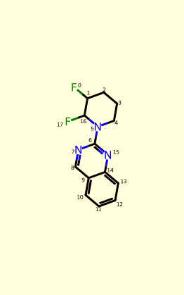 FC1CCCN(c2ncc3ccccc3n2)C1F